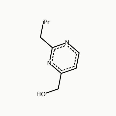 CC(C)Cc1nccc(CO)n1